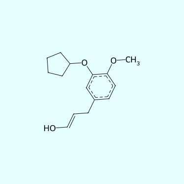 COc1ccc(CC=CO)cc1OC1CCCC1